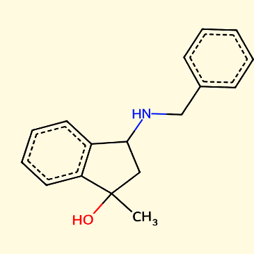 CC1(O)CC(NCc2ccccc2)c2ccccc21